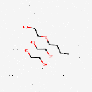 CCCCOCCO.OCCO.OCCO